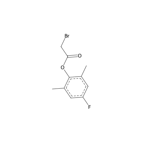 Cc1cc(F)cc(C)c1OC(=O)CBr